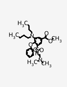 CCCCN(CCCC)c1cc(C(=O)OC)cc(S(=O)(=O)N=CN(C)C)c1Oc1ccccc1